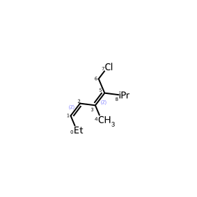 CC/C=C\C(C)=C(/CCl)C(C)C